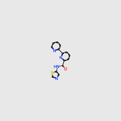 O=C(Nc1cncs1)c1cccc(-c2ccccn2)n1